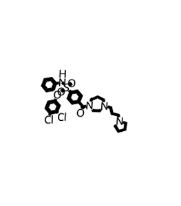 O=C(c1ccc(S(=O)(=O)Nc2ccccc2Oc2ccc(Cl)c(Cl)c2)cc1)N1CCCN(CCCN2CCCC2)CC1